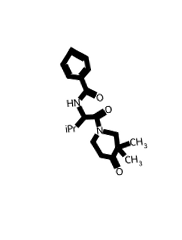 CC(C)C(NC(=O)c1ccccc1)C(=O)N1CCC(=O)C(C)(C)C1